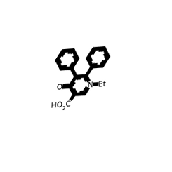 CCn1cc(C(=O)O)c(=O)c(-c2ccccc2)c1-c1ccccc1